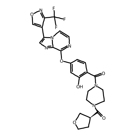 O=C(c1ccc(Oc2nccn3c(-c4conc4C(F)(F)F)cnc23)cc1O)N1CCN(C(=O)[C@H]2CCOC2)CC1